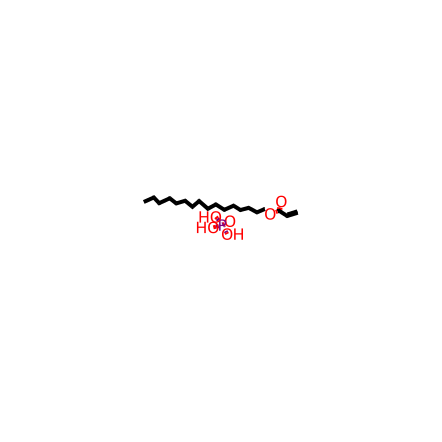 C=CC(=O)OCCCCCCCCCCCCCCCC.O=P(O)(O)O